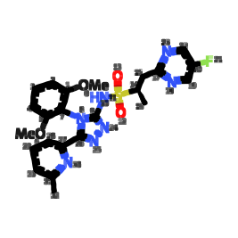 COc1cccc(OC)c1-n1c(NS(=O)(=O)[C@H](C)Cc2ncc(F)cn2)nnc1-c1cccc(C)n1